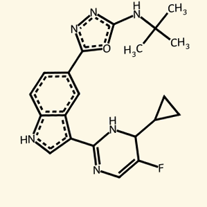 CC(C)(C)Nc1nnc(-c2ccc3[nH]cc(C4=NC=C(F)C(C5CC5)N4)c3c2)o1